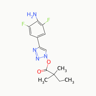 CCC(C)(C)C(=O)On1cc(-c2cc(F)c(N)c(F)c2)nn1